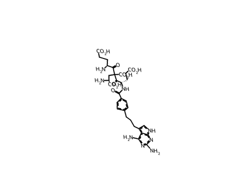 Nc1nc(N)c2c(CCCc3ccc(C(=O)N[C@@H](CCC(=O)O)C(=O)C(C[C@H](N)C(=O)O)(C(=O)O)C(=O)[C@@H](N)CCC(=O)O)cc3)c[nH]c2n1